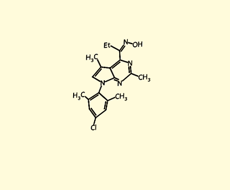 CC/C(=N/O)c1nc(C)nc2c1c(C)cn2-c1c(C)cc(Cl)cc1C